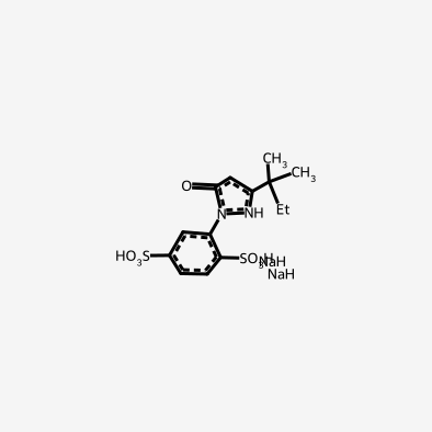 CCC(C)(C)c1cc(=O)n(-c2cc(S(=O)(=O)O)ccc2S(=O)(=O)O)[nH]1.[NaH].[NaH]